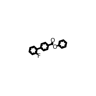 O=C(Oc1ccccc1)c1ccc(-c2ccccc2F)cc1